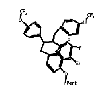 CCCCCOc1ccc(CC(c2ccc(OC(F)(F)F)cc2)C(Cc2ccc(OC(F)(F)F)cc2)c2ccc(CC)c(F)c2F)c(F)c1F